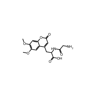 COc1cc2oc(=O)cc(CC(NC(=O)CN)C(=O)O)c2cc1OC